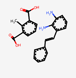 Cc1c(C(=O)O)cccc1C(=O)O.Nc1cccc(C=Cc2ccccc2)c1N